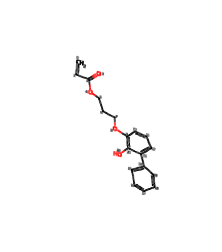 C=CC(=O)OCCCOc1cccc(-c2ccccc2)c1O